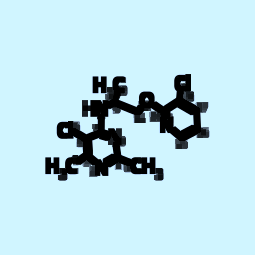 Cc1nc(C)c(Cl)c(N[C@@H](C)COc2ncccc2Cl)n1